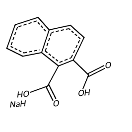 O=C(O)c1ccc2ccccc2c1C(=O)O.[NaH]